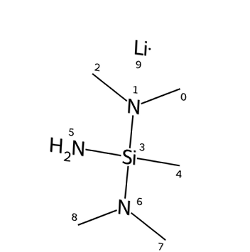 CN(C)[Si](C)(N)N(C)C.[Li]